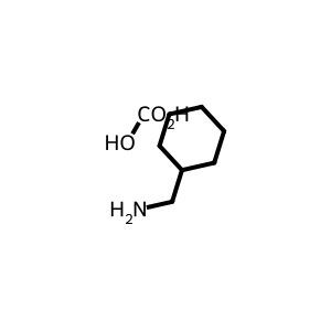 NCC1CCCCC1.O=C(O)O